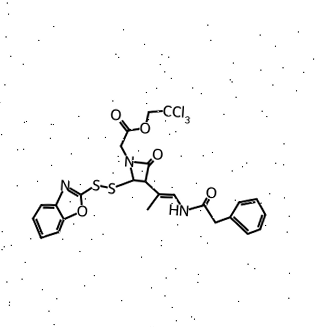 CC(=CNC(=O)Cc1ccccc1)C1C(=O)N(CC(=O)OCC(Cl)(Cl)Cl)C1SSc1nc2ccccc2o1